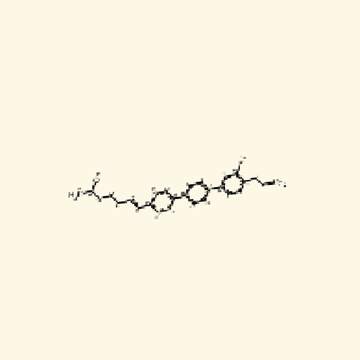 C=CCc1ccc(-c2ccc(-c3cnc(C=CCCCC(C)O)nc3)cc2)cc1F